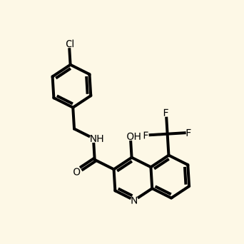 O=C(NCc1ccc(Cl)cc1)c1cnc2cccc(C(F)(F)F)c2c1O